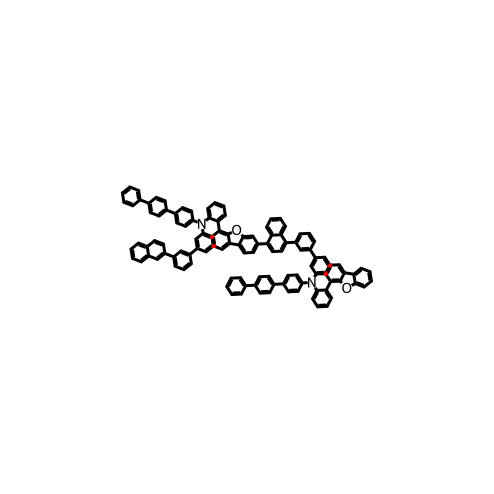 c1ccc(-c2ccc(-c3ccc(N(c4cccc(-c5cccc(-c6ccc(-c7ccc8c(c7)oc7c(-c9ccccc9N(c9ccc(-c%10ccc(-c%11ccccc%11)cc%10)cc9)c9cccc(-c%10cccc(-c%11ccc%12ccccc%12c%11)c%10)c9)cccc78)c7ccccc67)c5)c4)c4ccccc4-c4cccc5c4oc4ccccc45)cc3)cc2)cc1